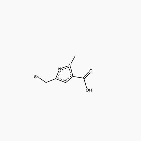 Cn1nc(CBr)cc1C(=O)O